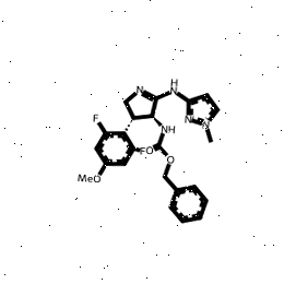 COc1cc(F)c([C@@H]2CN=C(Nc3ccn(C)n3)[C@H]2NC(=O)OCc2ccccc2)c(F)c1